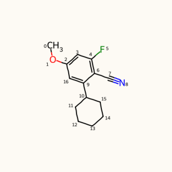 COc1cc(F)c(C#N)c(C2CCCCC2)c1